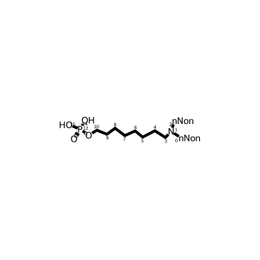 CCCCCCCCCN(CCCCCCCCC)CCCCCCCCOP(=O)(O)O